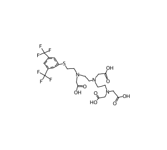 O=C(O)CN(CCSc1cc(C(F)(F)F)cc(C(F)(F)F)c1)CCN(CCN(CC(=O)O)CC(=O)O)CC(=O)O